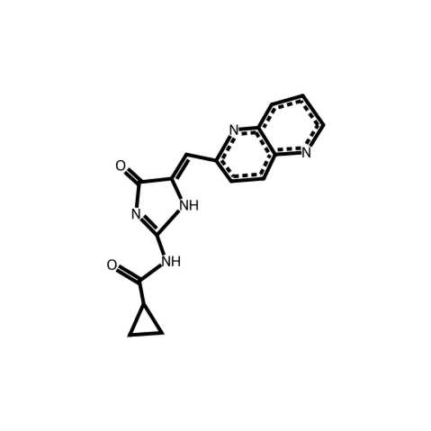 O=C1N=C(NC(=O)C2CC2)N/C1=C\c1ccc2ncccc2n1